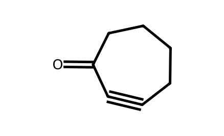 O=C1C#CCCCC1